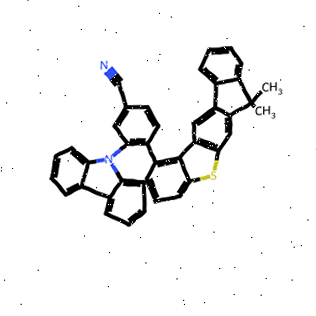 CC1(C)c2ccccc2-c2cc3c(cc21)sc1cccc(-c2ccc(C#N)cc2-n2c4ccccc4c4ccccc42)c13